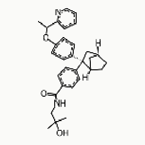 CC(Oc1ccc([C@]2(c3ccc(C(=O)NCC(C)(C)O)cc3)C[C@@H]3CC[C@H]2C3)cc1)c1ccccn1